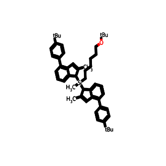 CC1=Cc2c(-c3ccc(C(C)(C)C)cc3)cccc2C1[Si](C)(CCCCCCOC(C)(C)C)C1C(C)=Cc2c(-c3ccc(C(C)(C)C)cc3)cccc21